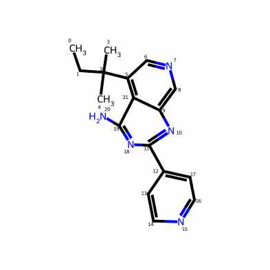 CCC(C)(C)c1cncc2nc(-c3ccncc3)nc(N)c12